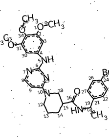 COc1cc(Nc2nccc(N3CCCC(C(=O)N[C@@H](C)c4ccc(Br)cc4)C3)n2)cc(OC)c1OC